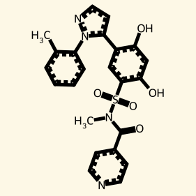 Cc1ccccc1-n1nccc1-c1cc(S(=O)(=O)N(C)C(=O)c2ccncc2)c(O)cc1O